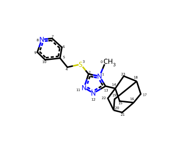 Cn1c(SCc2ccncc2)nnc1C12CC3CC(CC(C3)C1)C2